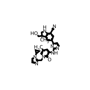 Cc1cc(Nc2nccc(-c3cc(C#N)c4c(c3)[C@@](C)(CO)CN4)n2)c(=O)n(Cc2nccn2C2CC2)c1